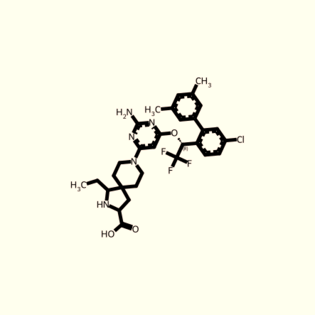 CCC1NC(C(=O)O)CC12CCN(c1cc(O[C@H](c3ccc(Cl)cc3-c3cc(C)cc(C)c3)C(F)(F)F)nc(N)n1)CC2